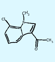 CC(=O)c1cn(C)c2c(Cl)cccc12